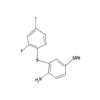 CSc1ccc(N)c(Sc2ccc(F)cc2F)c1